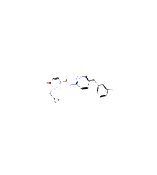 O=C(Nc1ccc(Cc2cccc(F)c2)cn1)c1ccc(=O)n(CC2CC2)n1